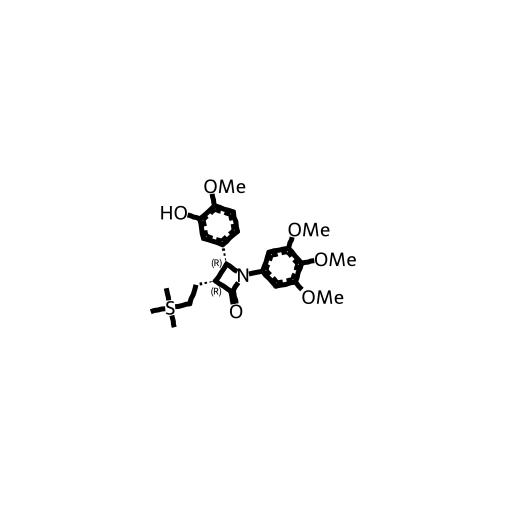 COc1ccc([C@H]2[C@@H](CCS(C)(C)C)C(=O)N2c2cc(OC)c(OC)c(OC)c2)cc1O